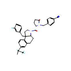 CC(F)(c1ccc2c(c1)CCC1N(C(=O)[C@@H]3CCC(=O)N3Cc3ccc(C#N)cc3)CCC21Cc1cccc(F)c1)C(F)(F)F